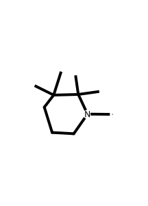 [CH2]N1CCCC(C)(C)C1(C)C